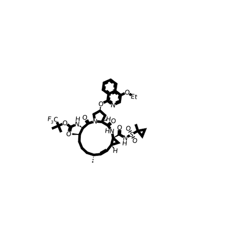 CCOc1cnc(O[C@@H]2C[C@H]3C(=O)N[C@]4(C(=O)NS(=O)(=O)C5(C)CC5)C[C@H]4/C=C\[C@H](C)CCC[C@@H](C)[C@H](NC(=O)OC(C)(C)C(F)(F)F)C(=O)N3C2)c2ccccc12